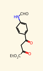 CCOC(=O)C(=O)CC(=O)c1ccc(NC=O)cc1